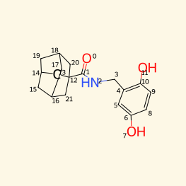 O=C(NCc1cc(O)ccc1O)C12CC3CC(CC(C3)C1)C2